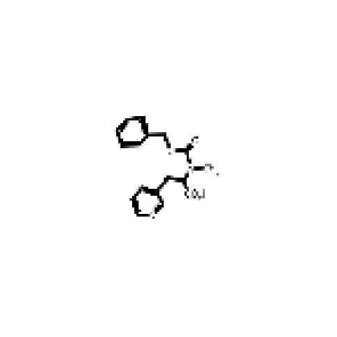 CN(C(=O)OCc1ccccc1)C(Cc1cccnc1)C(=O)O